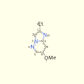 CCc1cn2ncc(OC)cc2n1